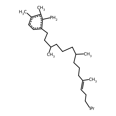 C/C(=C\CCC(C)C)CCCC(C)CCCC(C)CCc1ccc(C)c(C)c1P